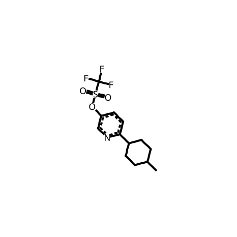 CC1CCC(c2ccc(OS(=O)(=O)C(F)(F)F)cn2)CC1